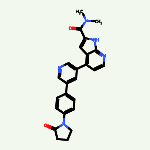 CN(C)C(=O)c1cc2c(-c3cncc(-c4ccc(N5CCCC5=O)cc4)c3)ccnc2[nH]1